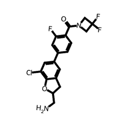 NCC1Cc2cc(-c3ccc(C(=O)N4CC(F)(F)C4)c(F)c3)cc(Cl)c2O1